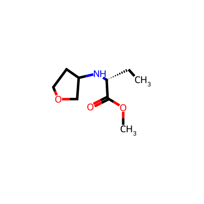 CC[C@@H](NC1CCOC1)C(=O)OC